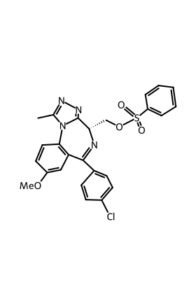 COc1ccc2c(c1)C(c1ccc(Cl)cc1)=N[C@@H](COS(=O)(=O)c1ccccc1)c1nnc(C)n1-2